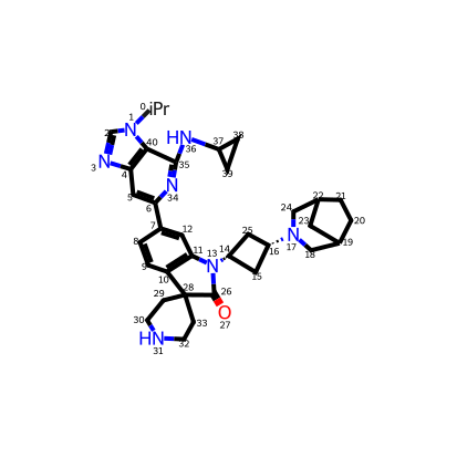 CC(C)n1cnc2cc(-c3ccc4c(c3)N([C@H]3C[C@@H](N5CC6CCC(C6)C5)C3)C(=O)C43CCNCC3)nc(NC3CC3)c21